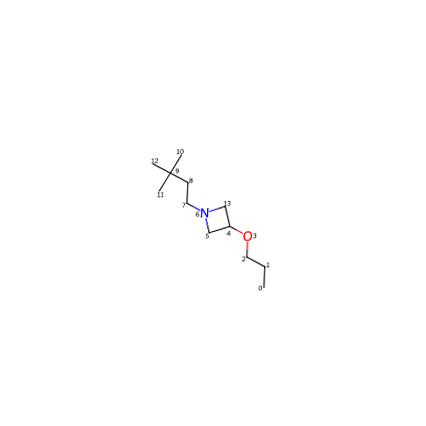 CCCOC1CN(CCC(C)(C)C)C1